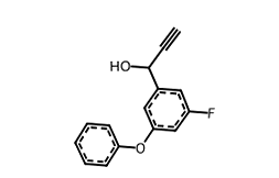 C#CC(O)c1cc(F)cc(Oc2ccccc2)c1